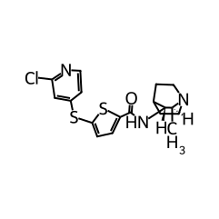 C[C@H]1[C@H](NC(=O)c2ccc(Sc3ccnc(Cl)c3)s2)C2CCN1CC2